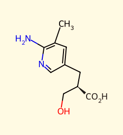 Cc1cc(C[C@H](CO)C(=O)O)cnc1N